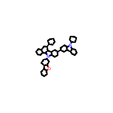 c1ccc(-c2cc3ccccc3c3c2c2cc(-c4ccc5c(c4)c4ccccc4n5-c4ccccc4)ccc2n3-c2ccc3c(c2)oc2ccccc23)cc1